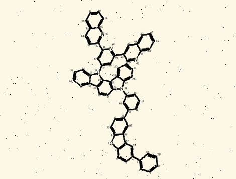 c1ccc(-c2ccc3oc4ccc(-c5cccc(-n6c7ccccc7c7c6ccc6c8ccccc8n(-c8cc(-c9cnc%10ccccc%10c9)nc(-c9ccc%10ccccc%10n9)c8)c67)c5)cc4c3c2)cc1